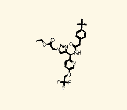 CCOC(=O)Cn1cc([C@@H](NC(=O)Cc2ccc(C(C)(C)C)cc2)c2ccc(OCC(F)(F)F)cn2)nn1